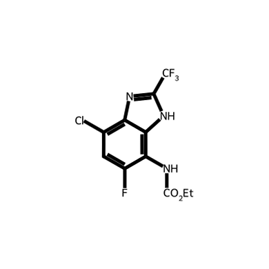 CCOC(=O)Nc1c(F)cc(Cl)c2nc(C(F)(F)F)[nH]c12